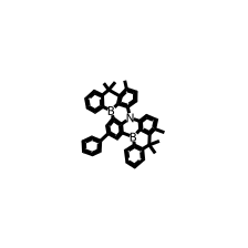 Cc1ccc2c3c1C(C)(C)c1ccccc1B3c1cc(-c3ccccc3)cc3c1N2c1ccc(C)c2c1B3c1ccccc1C2(C)C